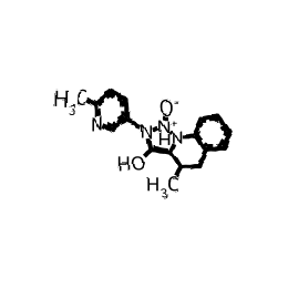 Cc1ccc(N2C(O)=C3C(C)Cc4ccccc4N3[NH+]2[O-])cn1